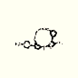 Cc1cnc2nc1-c1cccc(c1)OCCOCCOc1cc(ccc1N1CCN(C)CC1)N2